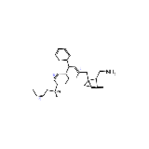 C=C1C(CN)C2(C/C(C)=C/C(C3C=CC=CC3)C(/C=C\C[C@@H](C)C/C=C\C)CC)CC12